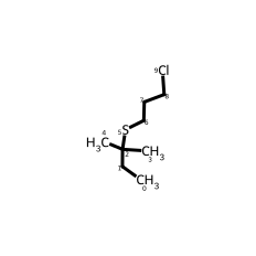 CCC(C)(C)SCCCCl